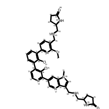 COc1nc(-c2cccc(-c3ccnc(-c4cnc5c(CNCC6CCC(=O)N6)cn(C)c5c4)c3Cl)c2Cl)ccc1CNCC1CCC(=O)N1